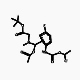 CC(=O)OC(c1cc(F)ccc1NC(=O)OC(C)Cl)N(C)CC(=O)OC(C)(C)C